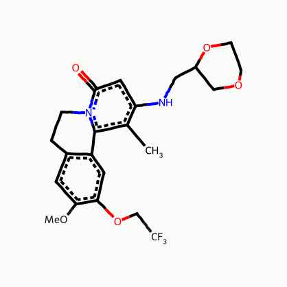 COc1cc2c(cc1OCC(F)(F)F)-c1c(C)c(NCC3COCCO3)cc(=O)n1CC2